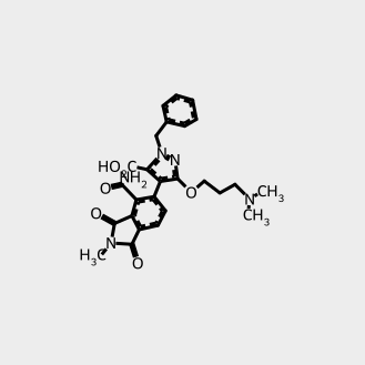 CN(C)CCCOc1nn(Cc2ccccc2)c(C(=O)O)c1-c1ccc2c(c1C(N)=O)C(=O)N(C)C2=O